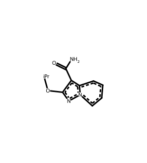 CC(C)Oc1nn2ccccc2c1C(N)=O